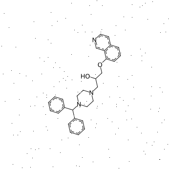 OC(COc1cccc2ccncc12)CN1CCN(C(c2ccccc2)c2ccccc2)CC1